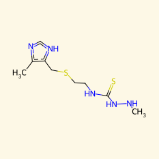 CNNC(=S)NCCSCc1[nH]cnc1C